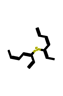 C=C/C=C\C(=C/C)S/C(C=C)=C/C=C\C